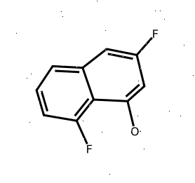 [O]c1cc(F)cc2cccc(F)c12